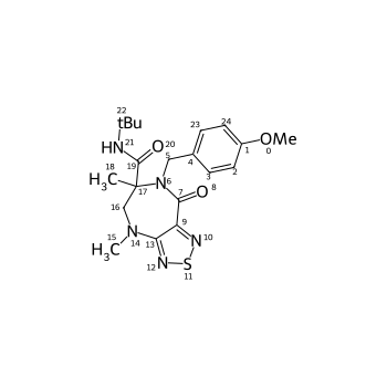 COc1ccc(CN2C(=O)c3nsnc3N(C)CC2(C)C(=O)NC(C)(C)C)cc1